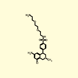 CN1Cc2c(Cl)cc(N)cc2C(c2ccc(S(=O)(=O)NCCOCCOCCN)cc2)C1